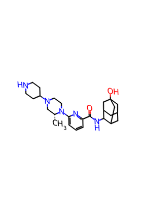 C[C@@H]1CN(C2CCNCC2)CCN1c1cccc(C(=O)NC2C3CC4CC2CC(O)(C4)C3)n1